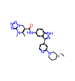 CC[C@@H]1CCCN(c2cc(-c3n[nH]c4ccc(NC(=O)C5=C(C)N(C)c6nnnn6C5)cc34)ccn2)C1